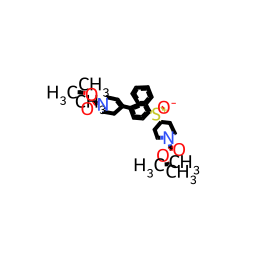 CC(C)(C)OC(=O)N1CC=C(c2ccc([S+]([O-])C3CCN(C(=O)OC(C)(C)C)CC3)c3ccccc23)CC1